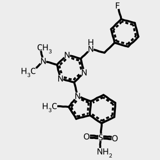 Cc1cc2c(S(N)(=O)=O)cccc2n1-c1nc(NCc2cccc(F)c2)nc(N(C)C)n1